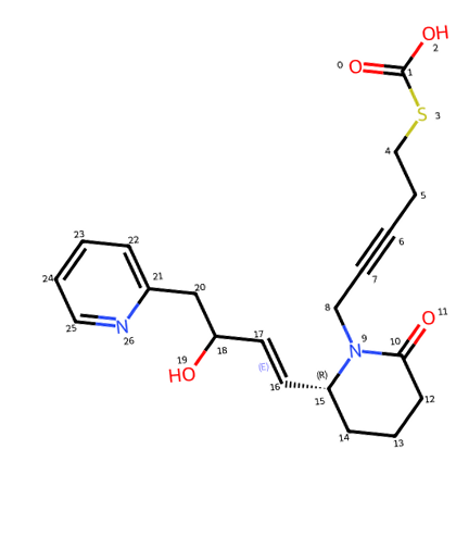 O=C(O)SCCC#CCN1C(=O)CCC[C@@H]1/C=C/C(O)Cc1ccccn1